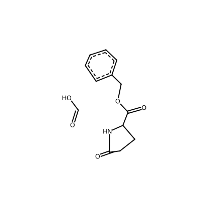 O=C1CCC(C(=O)OCc2ccccc2)N1.O=CO